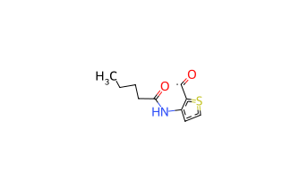 CCCCC(=O)Nc1ccsc1[C]=O